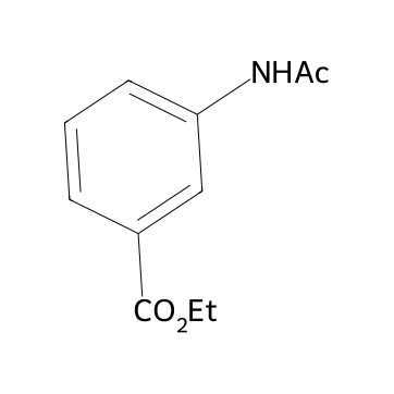 CCOC(=O)c1cccc(NC(C)=O)c1